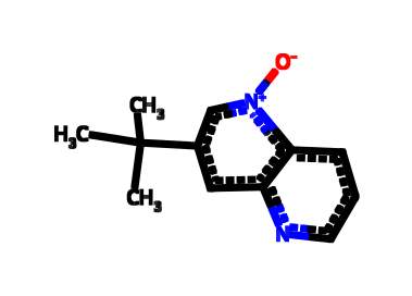 CC(C)(C)c1cc2ncccc2[n+]([O-])c1